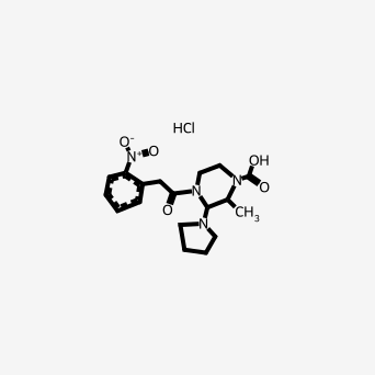 CC1C(N2CCCC2)N(C(=O)Cc2ccccc2[N+](=O)[O-])CCN1C(=O)O.Cl